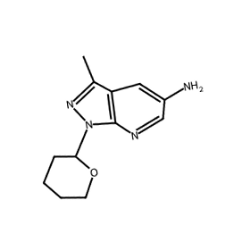 Cc1nn(C2CCCCO2)c2ncc(N)cc12